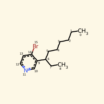 CCCCCCC(CC)c1cnccc1Br